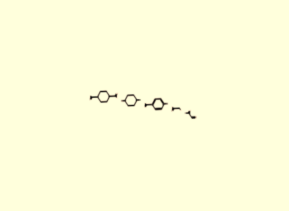 C=CC(=O)OCC(=O)Oc1ccc(C(=O)OC2CCC(OC(=O)C3CCC(C(=O)O)CC3)CC2)cc1